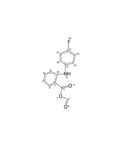 O=COC(=O)c1ccccc1Nc1ccc(F)cc1